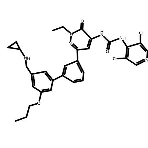 CCCOc1cc(CNC2CC2)cc(-c2cccc(-c3cc(NC(=O)Nc4c(Cl)cncc4Cl)c(=O)n(CC)n3)c2)c1